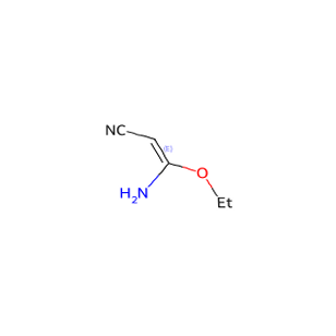 CCO/C(N)=C/C#N